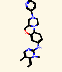 C/C=C1\C(C)=CN=C(NC2=CCC3C(=C2)OCC2CN(c4cccnc4)CCN23)N1C